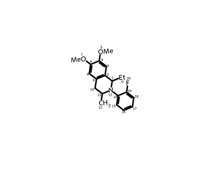 CCC1c2cc(OC)c(OC)cc2CC(C)N1c1ccccc1F